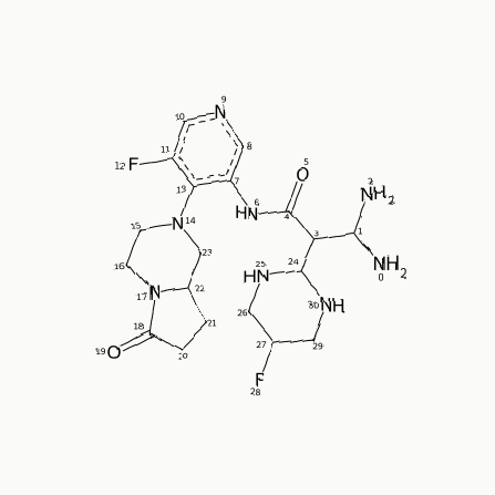 NC(N)C(C(=O)Nc1cncc(F)c1N1CCN2C(=O)CCC2C1)C1NCC(F)CN1